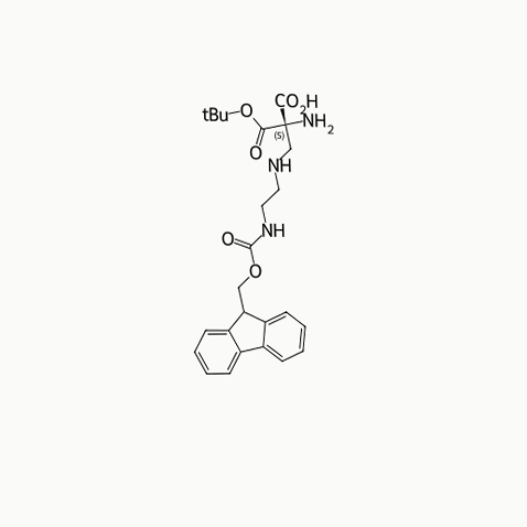 CC(C)(C)OC(=O)[C@](N)(CNCCNC(=O)OCC1c2ccccc2-c2ccccc21)C(=O)O